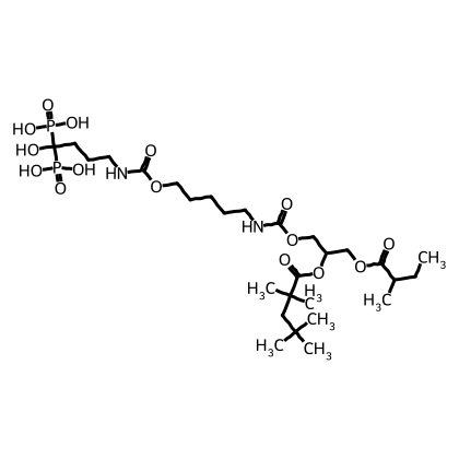 CCC(C)C(=O)OCC(COC(=O)NCCCCCOC(=O)NCCCC(O)(P(=O)(O)O)P(=O)(O)O)OC(=O)C(C)(C)CC(C)(C)C